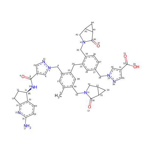 Cc1cc(Cn2cc(C(=O)N[C@@H]3CCc4nc(N)ccc43)cn2)c(Cc2cc(Cn3cc(C(=O)O)cn3)ccc2CN2CC3CC3C2=O)cc1CN1CC2CC2C1=O